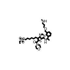 CCS(=O)(=O)OCCCCCCc1c(C(=O)N2CCOCC2)sc2c(NC(C)c3cccc(COCCCNC)c3)ncnc12